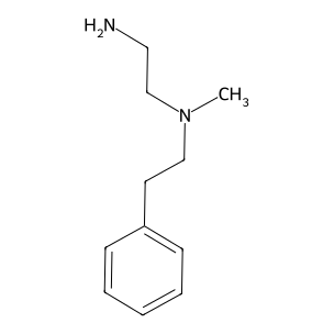 CN(CCN)CCc1ccccc1